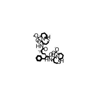 COC(=O)[C@@H]1CCC[C@@H]2SCC[C@H](NC(=O)[C@H](CC[C@H](C)C(=O)N[C@H]3CCS[C@H]4CCC[C@@H](C(=O)OC)N4C3=O)Cc3ccccc3)C(=O)N21